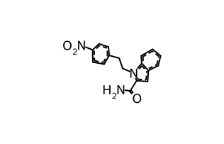 NC(=O)c1cc2ccccc2n1CCc1ccc([N+](=O)[O-])cc1